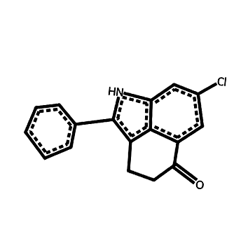 O=C1CCc2c(-c3ccccc3)[nH]c3cc(Cl)cc1c23